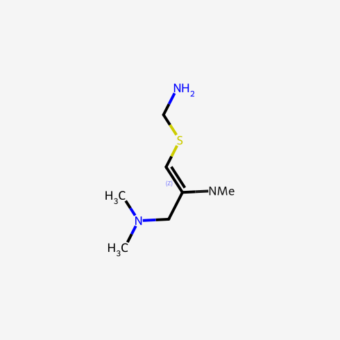 CN/C(=C\SCN)CN(C)C